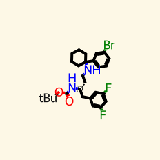 CC(C)(C)OC(=O)N[C@H](CCNC1(c2cccc(Br)c2)CCCCC1)Cc1cc(F)cc(F)c1